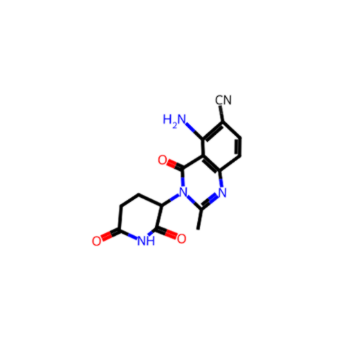 Cc1nc2ccc(C#N)c(N)c2c(=O)n1C1CCC(=O)NC1=O